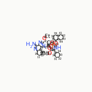 CCOCc1nc2c(N)nc3ccccc3c2n1C[C@@H](C)OP(=O)(N[C@H](C(=O)OC(C)(C)C)c1ccccc1)Oc1cccc2ccccc12